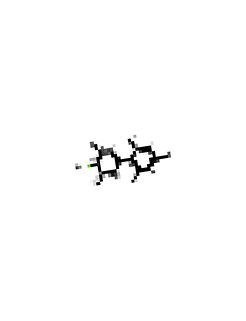 Cc1cc(C)c(-c2cc(C)c(F)c(C)c2)c(C)c1